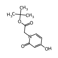 CC(C)(C)OC(=O)Cn1ccc(O)cc1=O